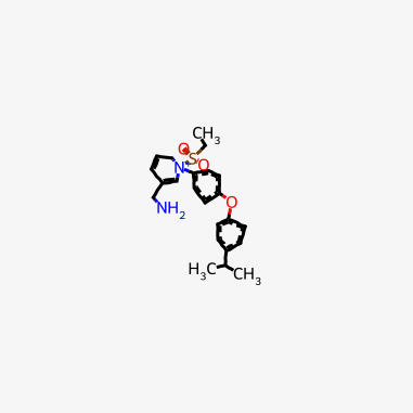 CCS(=O)(=O)[N+]1(c2ccc(Oc3ccc(C(C)C)cc3)cc2)C=C(CN)C=CC1